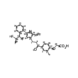 Cc1cc(C(=O)CCc2sc(-c3ccccc3C(F)C(F)F)nc2C(C)C)ccc1OCC(=O)O